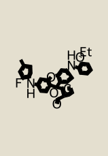 CCOc1ccccc1Nc1ccc2c(c1)Oc1cc(Nc3ccc(C)cc3F)ccc1C21OC(=O)c2ccccc21